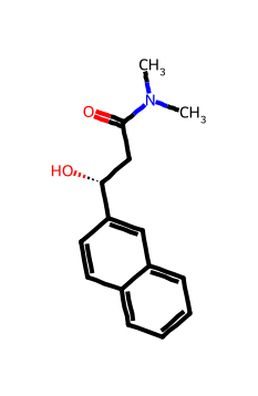 CN(C)C(=O)C[C@@H](O)c1ccc2ccccc2c1